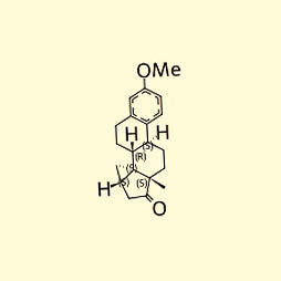 COc1ccc2c(c1)CC[C@@H]1[C@@H]2CC[C@]2(C)C(=O)C[C@@H]3C[C@]312